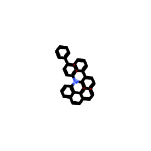 c1ccc(-c2ccc(N(c3ccccc3-c3ccccc3)c3cccc4ccc5ccccc5c34)cc2)cc1